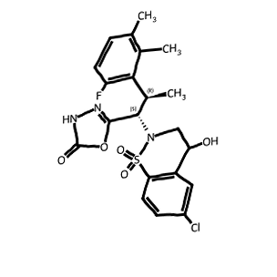 Cc1ccc(F)c([C@@H](C)[C@@H](c2n[nH]c(=O)o2)N2CC(O)c3cc(Cl)ccc3S2(=O)=O)c1C